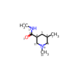 CNC(=O)C1CC(C)CN(C)C1